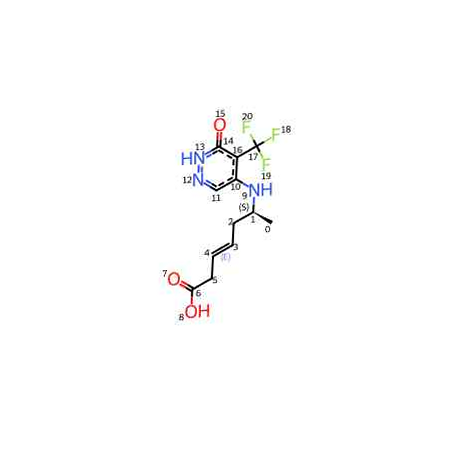 C[C@@H](C/C=C/CC(=O)O)Nc1cn[nH]c(=O)c1C(F)(F)F